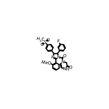 COC1=C(C2=NC(c3ccc(S(C)(=O)=O)cc3)C(c3cccc(F)c3)N2C(=O)N2C=CNC(=O)C2)CCC=C1